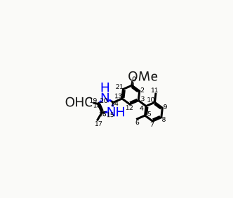 COc1cc(-c2c(C)cccc2C)cc(C2NC(C)=C(C=O)N2)c1